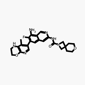 Cc1c(-c2cc3cc(NC(=O)N4CC5(CCOCC5)C4)ncc3c(N)c2F)cnc2c1NCCO2